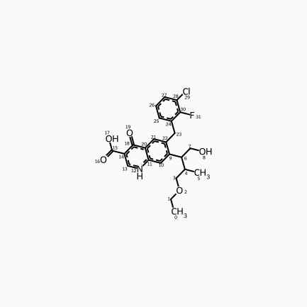 CCOCC(C)C(CO)c1cc2[nH]cc(C(=O)O)c(=O)c2cc1Cc1cccc(Cl)c1F